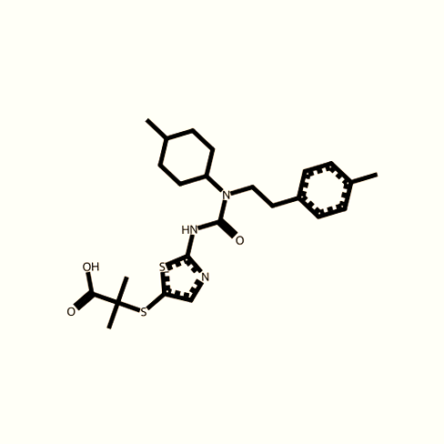 Cc1ccc(CCN(C(=O)Nc2ncc(SC(C)(C)C(=O)O)s2)C2CCC(C)CC2)cc1